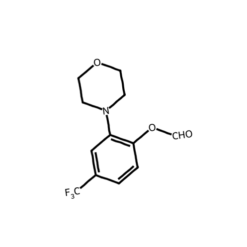 O=COc1ccc(C(F)(F)F)cc1N1CCOCC1